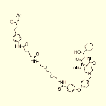 CCCCN1C(=O)[C@H]([C@H](O)C2CCCCC2)NC(=O)C12CCN(Cc1ccc(Oc3ccc(C(=O)NCCOCCOCCNC(=O)CCCC(=O)Nc4ccc(CCC(=O)CC(C)=O)cc4)cc3)cc1)CC2